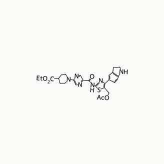 CCOC(=O)C1CCN(c2cnc(C(=O)Nc3nc(-c4ccc5c(c4)CCN5)c(COC(C)=O)s3)cn2)CC1